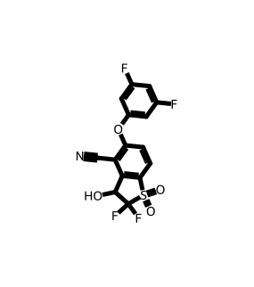 N#Cc1c(Oc2cc(F)cc(F)c2)ccc2c1C(O)C(F)(F)S2(=O)=O